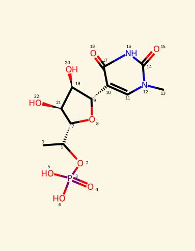 CC(OP(=O)(O)O)[C@H]1O[C@@H](c2cn(C)c(=O)[nH]c2=O)[C@H](O)[C@@H]1O